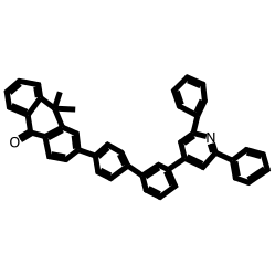 CC1(C)c2ccccc2C(=O)c2ccc(-c3ccc(-c4cccc(-c5cc(-c6ccccc6)nc(-c6ccccc6)c5)c4)cc3)cc21